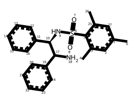 Cc1cc(C)c(S(=O)(=O)N[C@H](c2ccccc2)C(N)c2ccccc2)c(C)c1